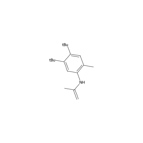 C=C(C)Nc1cc(C(C)(C)C)c(C(C)(C)C)cc1C